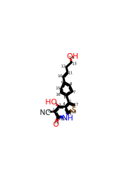 N#Cc1c(O)c2c(-c3ccc(C=CCCO)cc3)csc2[nH]c1=O